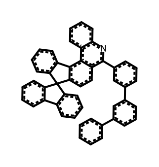 c1ccc(-c2cccc(-c3cccc(-c4nc5ccccc5c5c6c(ccc45)C4(c5ccccc5-c5ccccc54)c4ccccc4-6)c3)c2)cc1